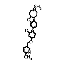 Cc1ccc(COc2ccn(-c3ccc4c5c(oc4c3)CCN(C)CC5)c(=O)c2)cn1